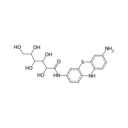 Nc1ccc2c(c1)Sc1cc(NC(=O)C(O)C(O)C(O)C(O)CO)ccc1N2